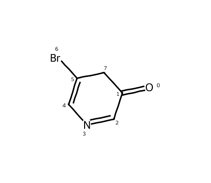 O=C1C=NC=C(Br)C1